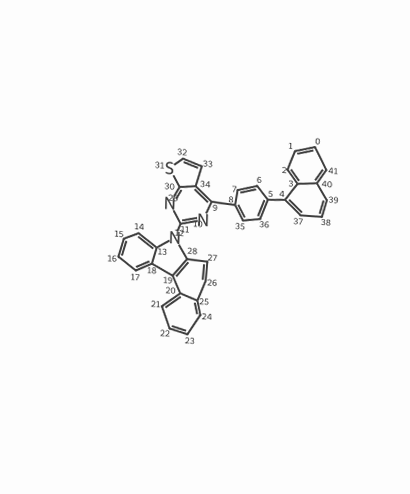 c1ccc2c(-c3ccc(-c4nc(-n5c6ccccc6c6c7ccccc7ccc65)nc5sccc45)cc3)cccc2c1